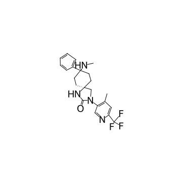 CN[C@]1(c2ccccc2)CC[C@]2(CC1)CN(c1cnc(C(F)(F)F)cc1C)C(=O)N2